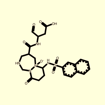 O=CC(CC(=O)O)NC(=O)C1CNCN2C(=O)CCC(NS(=O)(=O)c3ccc4ccccc4c3)[N+]2([O-])C1